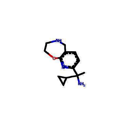 CC(N)(c1ccc2c(n1)OCCNC2)C1CC1